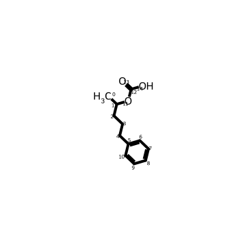 CC(CCCc1ccccc1)OC(=O)O